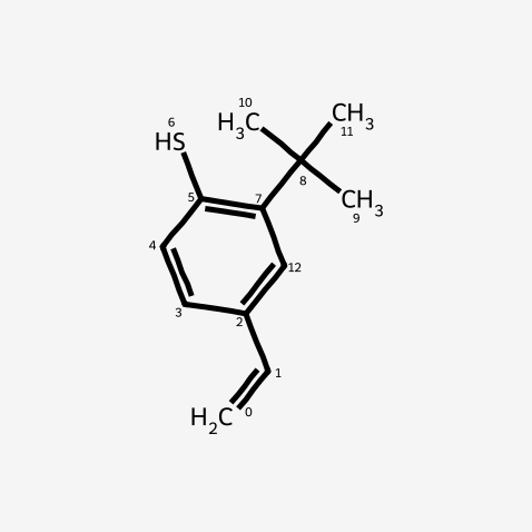 C=Cc1ccc(S)c(C(C)(C)C)c1